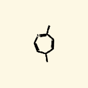 CC1=NC=CC(C)C=C1